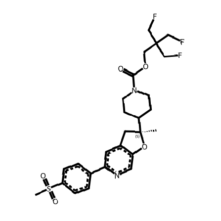 C[C@@]1(C2CCN(C(=O)OCC(CF)(CF)CF)CC2)Cc2cc(-c3ccc(S(C)(=O)=O)cc3)ncc2O1